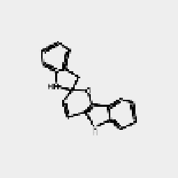 C1=CC2(Cc3ccccc3N2)Oc2c1[nH]c1ccccc21